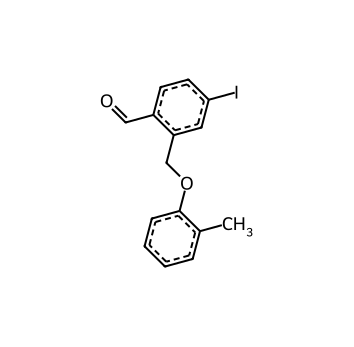 Cc1ccccc1OCc1cc(I)ccc1C=O